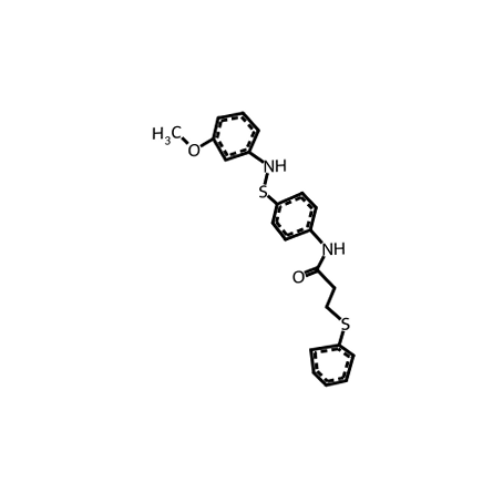 COc1cccc(NSc2ccc(NC(=O)CCSc3ccccc3)cc2)c1